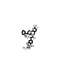 CC(C(=O)NCc1ccc(C(F)(F)F)nc1N1CCC(C#N)(c2ccccc2)CC1)c1ccc(NS(C)(=O)=O)c(F)c1